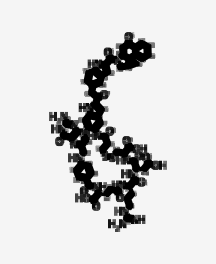 N=C(N)NCCC[C@@H](NC(=O)CC[C@@H](NC(=O)c1ccc(NCc2cnc3nc(N)[nH]c(=O)c3n2)cc1)C(=O)O)C(=O)N[C@H](CC(=O)O)C(=O)NC(CSSCCC(=O)Nc1ccc2[nH]c(C(=O)Cc3ccc4[nH]c(C(=O)N5CC6CC67C5=CC(=O)c5ccccc57)cc4c3)cc2c1)C(=O)O